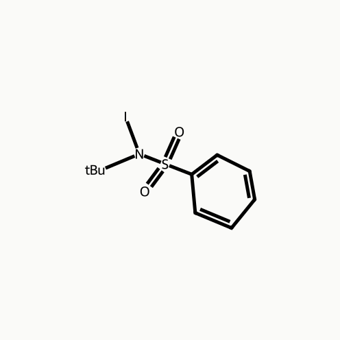 CC(C)(C)N(I)S(=O)(=O)c1ccccc1